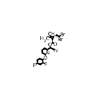 CC1(C)[C@H](C(=O)OC(C#N)c2cccc(Oc3ccc(F)cc3F)n2)[C@@H]1C=C(Br)Br